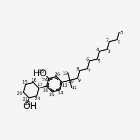 CCCCCCCCCCC(C)(C)c1ccc([C@@H]2CCC[C@H](O)C2)c(O)c1